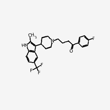 Cc1[nH]c2ccc(C(F)(F)F)cc2c1C1CCN(CCCC(=O)c2ccc(F)cc2)CC1